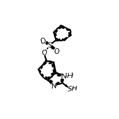 O=S(=O)(Oc1ccc2nc(S)[nH]c2c1)c1ccccc1